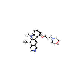 Cc1c2ccncc2cc2c3c(OCCCN4CCOCC4)cccc3n(C)c12